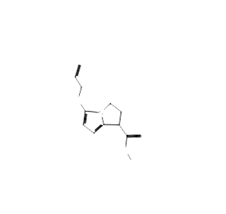 C=CCSc1ccc2n1CCC2C(=O)OC